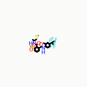 CSCC(C)NC(=O)c1c(C(=O)Nc2ccc(C(F)(C(F)(F)F)C(F)(F)F)cc2C)cccc1S(C)(=O)=O